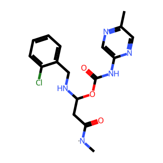 C[N]C(=O)CC(NCc1ccccc1Cl)OC(=O)Nc1cnc(C)cn1